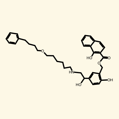 O=C(OCc1cc(C(O)CNCCCCCCOCCCCc2ccccc2)ccc1O)c1ccc2ccccc2c1O